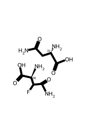 NC(=O)C(F)[C@H](N)C(=O)O.NC(=O)C[C@H](N)C(=O)O